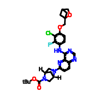 CC(C)(C)OC(=O)N1C[C@@H]2C[C@H]1CN2c1ccc2ncnc(Nc3ccc(OCC45CC(CO4)C5)c(Cl)c3F)c2n1